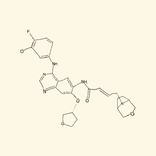 O=C(/C=C/CN1C2CCC1COC2)Nc1cc2c(Nc3ccc(F)c(Cl)c3)ncnc2cc1O[C@@H]1CCOC1